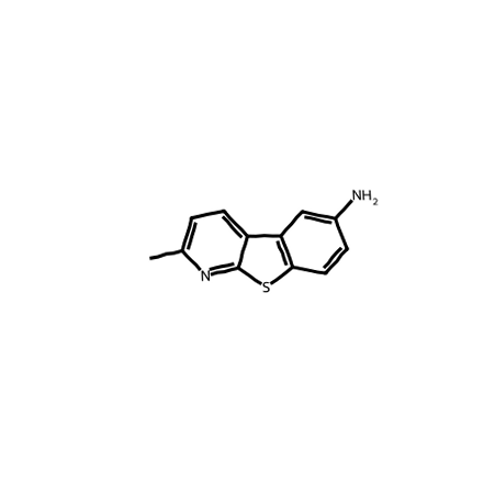 Cc1ccc2c(n1)sc1ccc(N)cc12